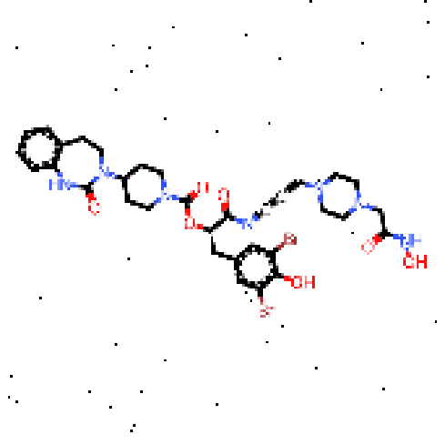 O=C(CN1CCN(C=C=C=NC(=O)[C@@H](Cc2cc(Br)c(O)c(Br)c2)OC(=O)N2CCC(N3CCc4ccccc4NC3=O)CC2)CC1)NO